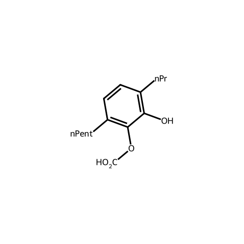 CCCCCc1ccc(CCC)c(O)c1OC(=O)O